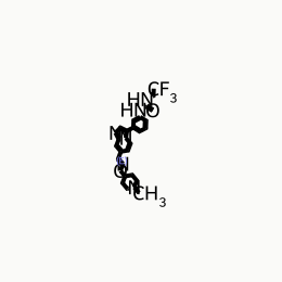 CN1CCC(O/N=C/c2ccn3c(-c4cccc(NC(=O)NCC(F)(F)F)c4)cnc3c2)CC1